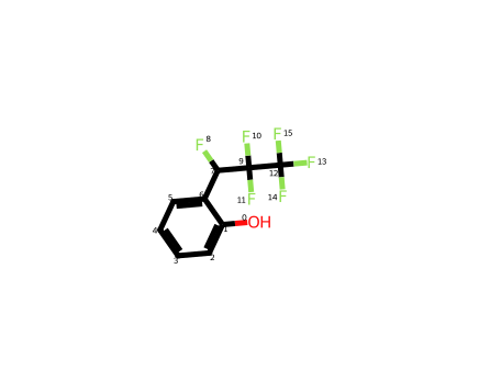 Oc1ccccc1C(F)C(F)(F)C(F)(F)F